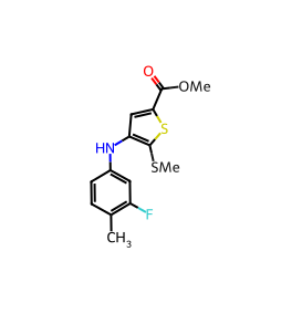 COC(=O)c1cc(Nc2ccc(C)c(F)c2)c(SC)s1